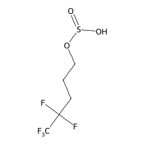 O=S(O)OCCCC(F)(F)C(F)(F)F